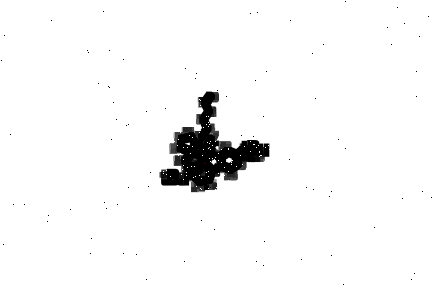 C=CCCC[CH2][Zr](=[CH2])([c]1ccccc1)([CH]1C=CC=C1)[CH]1c2cc(C(C)(C)C)ccc2-c2ccc(C(C)(C)C)cc21.[Cl-].[Cl-]